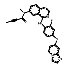 CC#CC(=O)N(C)c1ccc2ncnc(Nc3ccc(Oc4ccn5ccnc5c4)cc3F)c2c1